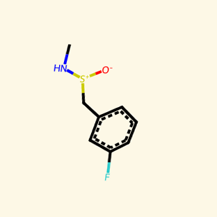 CN[S+]([O-])Cc1cccc(F)c1